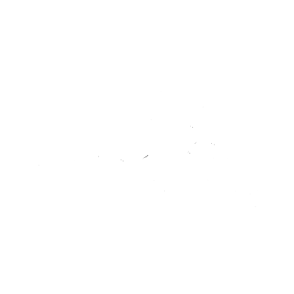 Cc1cccc(C)c1-c1cc(OC[C@@H](CC2(C)CC2)NCc2nc3cc(C4CC4)oc3cc2F)nc(NS(=O)(=O)c2cccc(C(=O)O)c2)n1